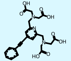 O=C(O)CN(CC(=O)O)Cc1cc(C#Cc2ccccc2)cc(CN(CC(=O)O)CC(=O)O)n1